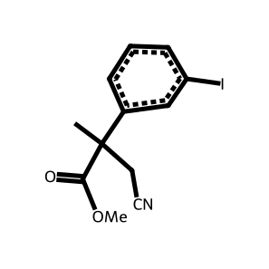 COC(=O)C(C)(CC#N)c1cccc(I)c1